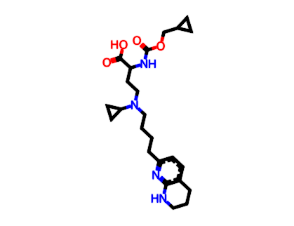 O=C(NC(CCN(CCCCc1ccc2c(n1)NCCC2)C1CC1)C(=O)O)OCC1CC1